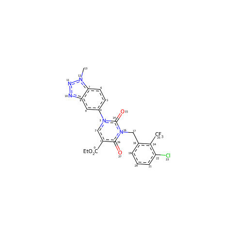 CCOC(=O)c1cn(-c2ccc3c(c2)nnn3C)c(=O)n(Cc2cccc(Cl)c2C(F)(F)F)c1=O